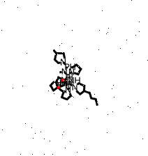 CCCCC1CCN([PH](NC)(N[PH](N2CCCC2)(N2CCCC2)N(C)PN2CCC(C)CC2)N2CCCC2C2CCCN2)CC1